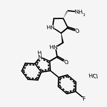 Cl.NC[C@H]1CN[C@H](CNC(=O)c2[nH]c3ccccc3c2-c2ccc(F)cc2)C1=O